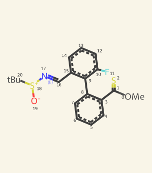 COC(=S)c1ccccc1-c1c(F)cccc1/C=N/[S+]([O-])C(C)(C)C